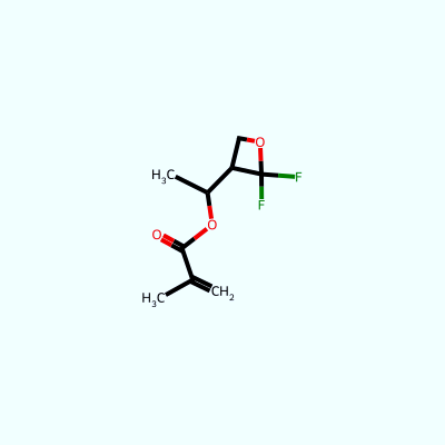 C=C(C)C(=O)OC(C)C1COC1(F)F